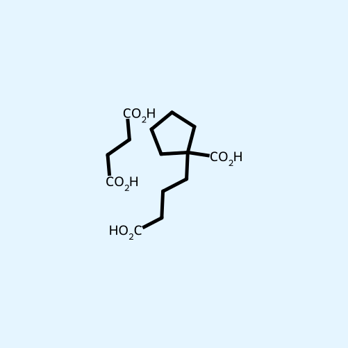 O=C(O)CCC(=O)O.O=C(O)CCCC1(C(=O)O)CCCC1